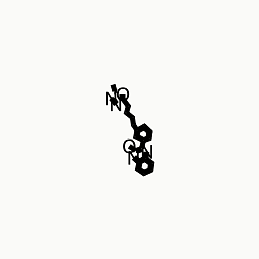 COc1nc2ccccc2nc1-c1cccc(CCCCc2nnc(C)o2)c1